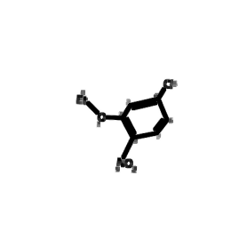 CCOc1cc(Cl)ccc1[N+](=O)[O-]